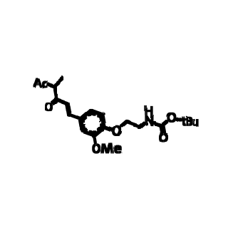 COc1cc(/C=C/C(=O)C(C)C(C)=O)ccc1OCCNC(=O)OC(C)(C)C